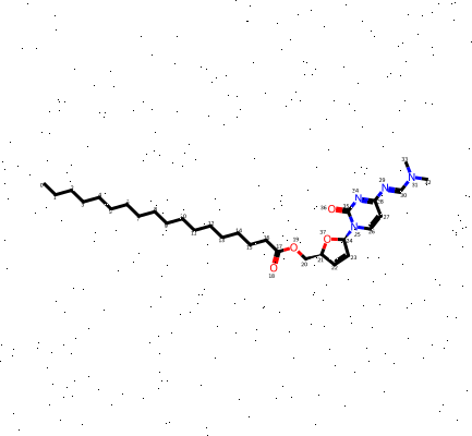 CCCCCCCCCCCCCCCCCC(=O)OC[C@@H]1C=C[C@H](n2ccc(/N=C/N(C)C)nc2=O)O1